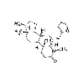 CN1C(=O)C=C[C@]2(C)[C@H]3CC[C@]4(C)[C@@H](O)CC[C@H]4[C@@H]3CC(=Cc3ccco3)[C@@H]12